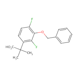 CC(C)(C(=O)O)c1ccc(F)c(OCc2ccccc2)c1F